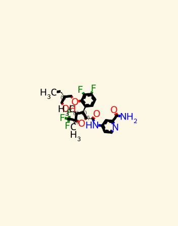 CC[C@@H](CO)COc1c([C@H]2[C@H](C(=O)Nc3ccnc(C(N)=O)c3)O[C@@](C)(C(F)(F)F)[C@H]2C)ccc(F)c1F